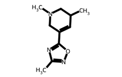 Cc1noc(C2=CC(C)CN(C)C2)n1